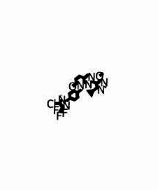 COc1ncnc(C2CC2)c1-c1ncc2ccc(=O)n(Cc3ccc(-c4nc(C(F)(F)F)c(Cl)n4C)cc3)c2n1